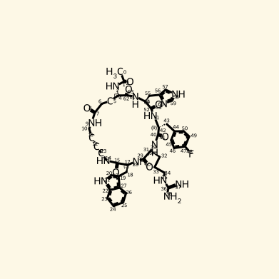 CC(=O)N[C@H]1CCC(=O)NCCCCNC(=O)[C@H](Cc2c[nH]c3ccccc23)NC(=O)[C@H](CCCNC(=N)N)NC(=O)[C@@H](Cc2ccc(F)cc2)NC(=O)[C@H](Cc2c[nH]cn2)NC1=O